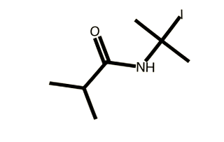 CC(C)C(=O)NC(C)(C)I